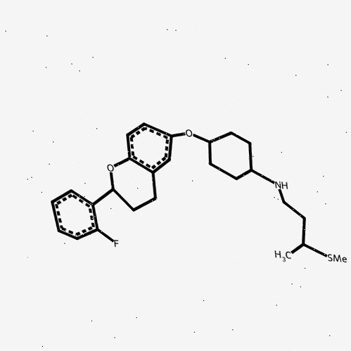 CSC(C)CCNC1CCC(Oc2ccc3c(c2)CCC(c2ccccc2F)O3)CC1